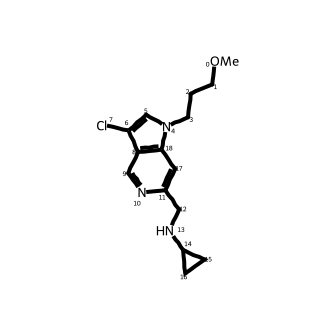 COCCCn1cc(Cl)c2cnc(CNC3CC3)cc21